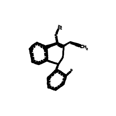 C=CC1=C(SCC)c2ccccc2C(c2ccccc2F)C1